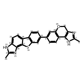 Cc1nc2c([nH]1)-c1ccc(-c3ccc4c(c3)sc3c4ccc4[nH]c(C)nc43)cc1OC2